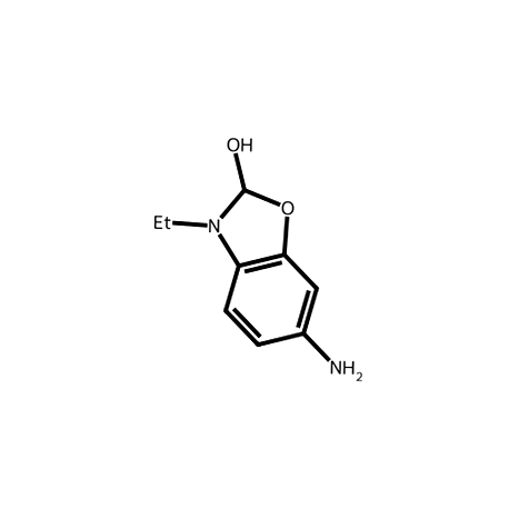 CCN1c2ccc(N)cc2OC1O